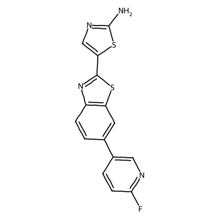 Nc1ncc(-c2nc3ccc(-c4ccc(F)nc4)cc3s2)s1